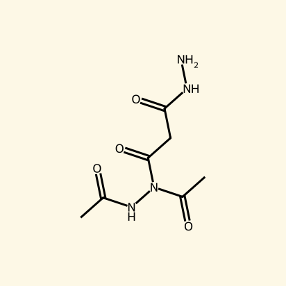 CC(=O)NN(C(C)=O)C(=O)CC(=O)NN